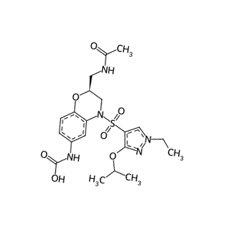 CCn1cc(S(=O)(=O)N2C[C@H](CNC(C)=O)Oc3ccc(NC(=O)O)cc32)c(OC(C)C)n1